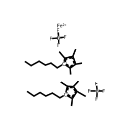 CCCCCC[c-]1c(C)c(C)c(C)c1C.CCCCCC[c-]1c(C)c(C)c(C)c1C.F[B-](F)(F)F.F[B-](F)(F)F.[Fe+2]